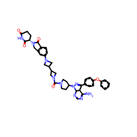 NC1=NC=NC2C1C(c1ccc(Oc3ccccc3)cc1)=NN2C1CCN(C(=O)N2CC(C3CN(c4ccc5c(c4)CN([C@H]4CCC(=O)NC4=O)C5=O)C3)C2)CC1